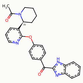 CC(=O)N1CCCC[C@H]1c1cccnc1Oc1ccc(C(=O)c2nc3ccccc3[nH]2)cc1